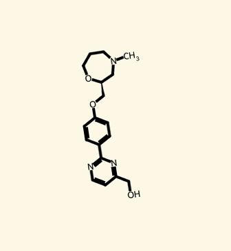 CN1CCCO[C@H](COc2ccc(-c3nccc(CO)n3)cc2)C1